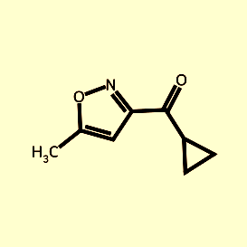 Cc1cc(C(=O)C2CC2)no1